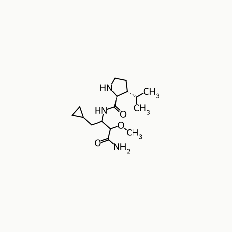 COC(C(N)=O)C(CC1CC1)NC(=O)[C@H]1NCC[C@@H]1C(C)C